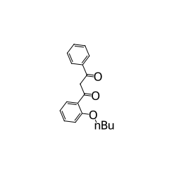 CCCCOc1ccccc1C(=O)CC(=O)c1ccccc1